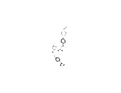 Cc1ncsc1-c1ccc(CNC(=O)[C@@H]2C[C@@H](O)CN2C(=O)[C@@H](NC(=O)c2ccc(N3CCN(CCN)CC3)cc2)C(C)(C)C)cc1